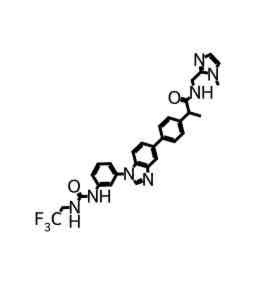 CC(C(=O)NCc1nccn1C)c1ccc(-c2ccc3c(c2)ncn3-c2cccc(NC(=O)NCC(F)(F)F)c2)cc1